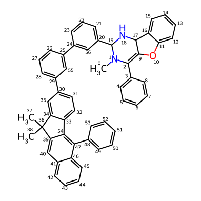 CN1C(c2ccccc2)=C2Oc3ccccc3C2NC1c1cccc(-c2cccc(-c3ccc4c(c3)C(C)(C)c3cc5ccccc5c(-c5ccccc5)c3-4)c2)c1